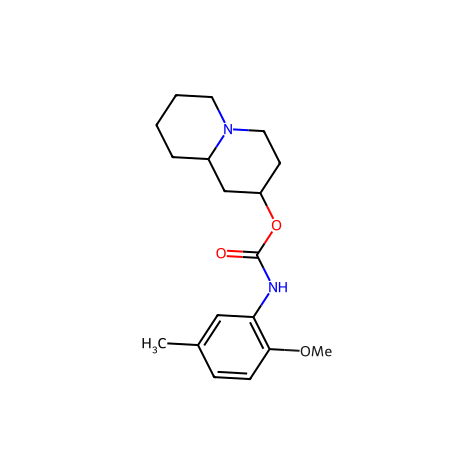 COc1ccc(C)cc1NC(=O)OC1CCN2CCCCC2C1